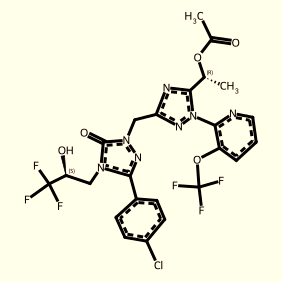 CC(=O)O[C@H](C)c1nc(Cn2nc(-c3ccc(Cl)cc3)n(C[C@H](O)C(F)(F)F)c2=O)nn1-c1ncccc1OC(F)(F)F